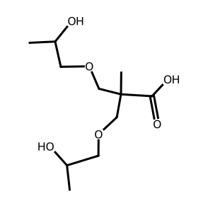 CC(O)COCC(C)(COCC(C)O)C(=O)O